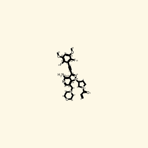 C=CC(=O)N1CCC(n2nc(C#Cc3c(F)c(OC)cc(OC)c3F)c3c(N)ncc(CN4CCOCC4)c32)C1